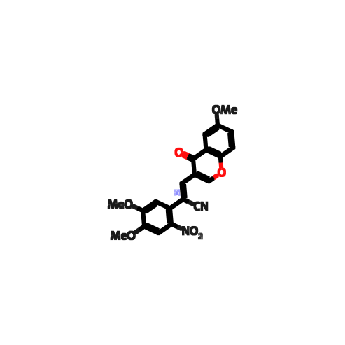 COc1ccc2occ(/C=C(\C#N)c3cc(OC)c(OC)cc3[N+](=O)[O-])c(=O)c2c1